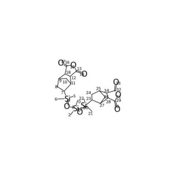 C[Si](C)(O[Si](C)(C)C1CC2CC1C1C(=O)OC(=O)C21)O[Si](C)(C)C1CC2CC1C1C(=O)OC(=O)C21